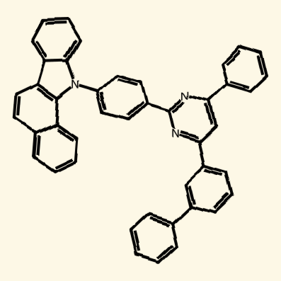 c1ccc(-c2cccc(-c3cc(-c4ccccc4)nc(-c4ccc(-n5c6ccccc6c6ccc7ccccc7c65)cc4)n3)c2)cc1